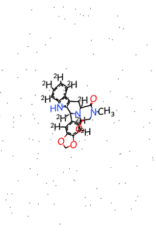 [2H]c1c([2H])c([C@]2([2H])c3[nH]c4c([2H])c([2H])c([2H])c([2H])c4c3C[C@]3([2H])C(=O)N(C)CC(=O)N23)c([2H])c2c1OCO2